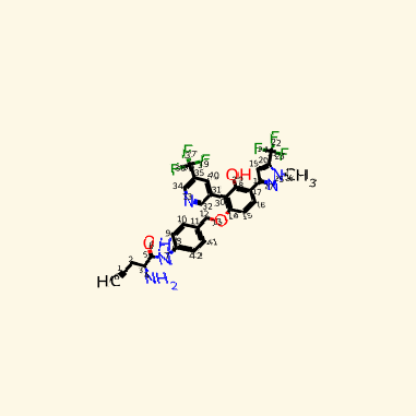 C#CCC(N)C(=O)Nc1ccc(COc2ccc(-c3cc(C(F)(F)F)n(C)n3)c(O)c2-c2cncc(C(F)(F)F)c2)cc1